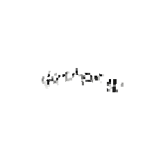 CN(C)C1CCN(c2ccc(NC(=O)C3CCN(c4ccc(C(F)(F)F)cn4)CC3)cc2)C1